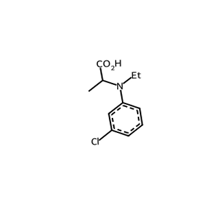 CCN(c1cccc(Cl)c1)C(C)C(=O)O